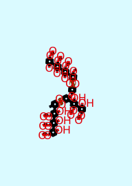 COc1ccc(S(=O)(=O)c2ccc(Oc3ccc(S(=O)(=O)c4ccc(C)c(-c5cc(OC=O)c(-c6cc(OC=O)c(-c7cc(OC=O)ccc7O)cc6O)cc5O)c4)cc3-c3cc(OC=O)c(-c4cc(OC=O)ccc4O)cc3O)cc2)cc1-c1cc(OC=O)c(-c2cc(OC=O)c(-c3cc(OC=O)ccc3O)cc2O)cc1O